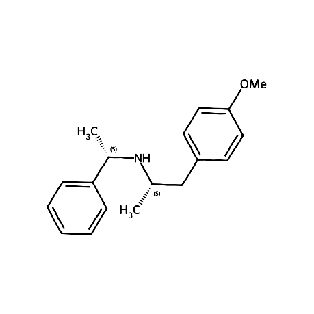 COc1ccc(C[C@H](C)N[C@@H](C)c2ccccc2)cc1